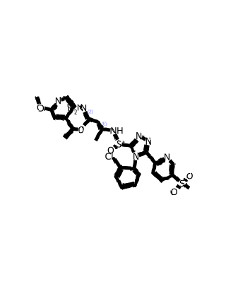 C=C(OC(/C=C(\C)N[S+]([O-])c1nnc(-c2ccc(S(C)(=O)=O)cn2)n1-c1ccccc1Cl)=N\N)c1ccnc(OC)c1